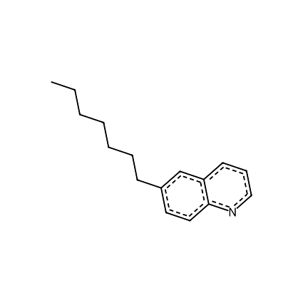 CCCCCCCc1ccc2ncccc2c1